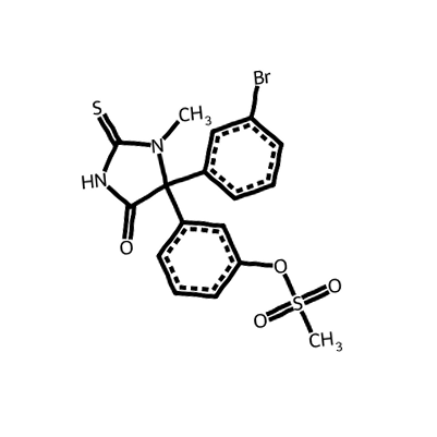 CN1C(=S)NC(=O)C1(c1cccc(Br)c1)c1cccc(OS(C)(=O)=O)c1